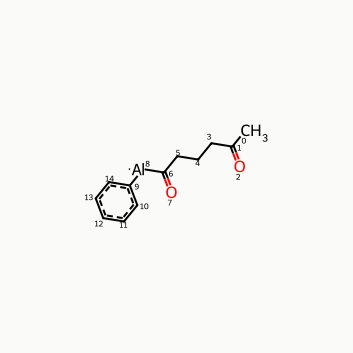 CC(=O)CCC[C](=O)[Al][c]1ccccc1